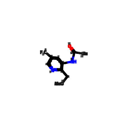 COCc1ncc(C(F)(F)F)cc1NC(=O)C(C)(C)C